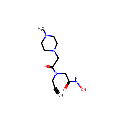 C#CCN(CC(=O)NO)C(=O)CN1CCN(C)CC1